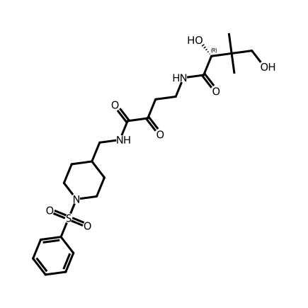 CC(C)(CO)[C@@H](O)C(=O)NCCC(=O)C(=O)NCC1CCN(S(=O)(=O)c2ccccc2)CC1